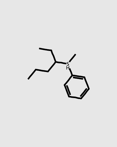 CCCC(CC)[SH](C)c1ccccc1